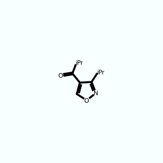 CC(C)C(=O)c1conc1C(C)C